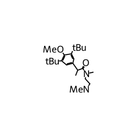 CNCCN(C)C(=O)C(C)c1cc(C(C)(C)C)c(OC)c(C(C)(C)C)c1